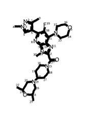 Cc1nn(C)cc1-c1nc2c(nc(C(=O)N3CCC(N4CC(C)OC(C)C4)CC3)n2C)c(N2CCOCC2)c1F